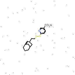 O=C(O)c1ccc(SSCCC2C=C3CCCC(C3)C2)nc1